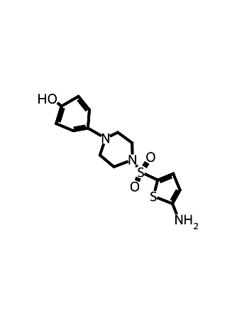 Nc1ccc(S(=O)(=O)N2CCN(c3ccc(O)cc3)CC2)s1